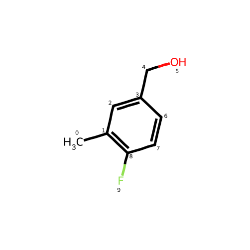 Cc1cc(CO)ccc1F